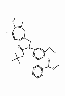 COC(=O)c1ccccc1-c1cc(SC)cc(N(CC2=NC=C(C)C(OC)=C(C)C2)C(=O)OC(C)(C)C)c1